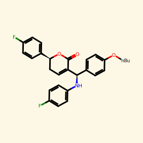 CCCCOc1ccc([C@@H](Nc2ccc(F)cc2)C2=CC[C@@H](c3ccc(F)cc3)OC2=O)cc1